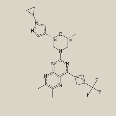 Cc1nc2nc(N3C[C@@H](C)O[C@@H](c4cnn(C5CC5)c4)C3)nc(C34CC(C(F)(F)F)(C3)C4)c2nc1C